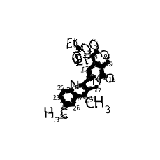 CCC(=O)O[C@]1(CC)C(=O)OCc2c1cc1n(c2=O)Cc2c-1nc1ccc(C)cc1c2C